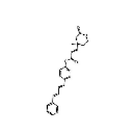 CC1(C=CC(=O)Oc2ccc(C=CC=Cc3ccccc3)cc2)CCOC(=O)C1